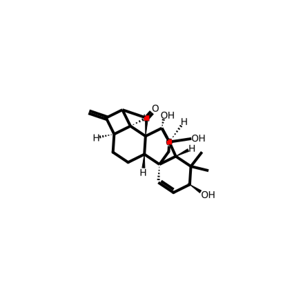 C=C1C2C(=O)[C@]34[C@H]2[C@H]1CC[C@H]3[C@]12C=C[C@H](O)C(C)(C)[C@H]1[C@H](O)[C@@]4(O)OC2